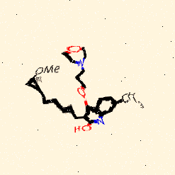 CO[C@@H]1CC1CCCCCc1c(O)nc2cc(C)ccc2c1OCCCN1CCOCC1